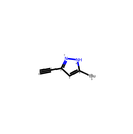 C#Cc1cc(C(C)(C)C)[nH]n1